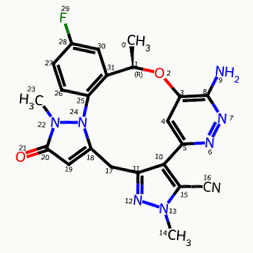 C[C@H]1Oc2cc(nnc2N)-c2c(nn(C)c2C#N)Cc2cc(=O)n(C)n2-c2ccc(F)cc21